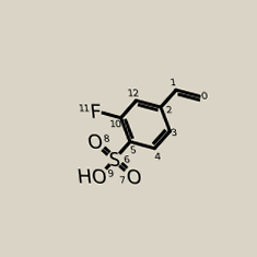 C=Cc1ccc(S(=O)(=O)O)c(F)c1